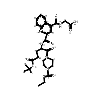 CCOC(=O)N1CCN(C(=O)C(CCC(=O)OC(C)(C)C)NC(=O)c2cc(C(=O)NCC(=O)O)c3ccccc3n2)CC1